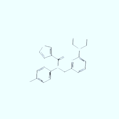 CCN(CC)c1cccc(CN(C(=O)c2ccsc2)c2ccc(Cl)cc2)n1